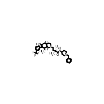 C[C@H]1c2c([nH]c3ccc(C(F)(F)F)cc23)C[C@H]2CCN(CCC(C)(C)C(=O)NC3CCN(Cc4ccccc4)CC3)C[C@@H]21